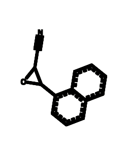 N#CC1OC1c1cccc2ccccc12